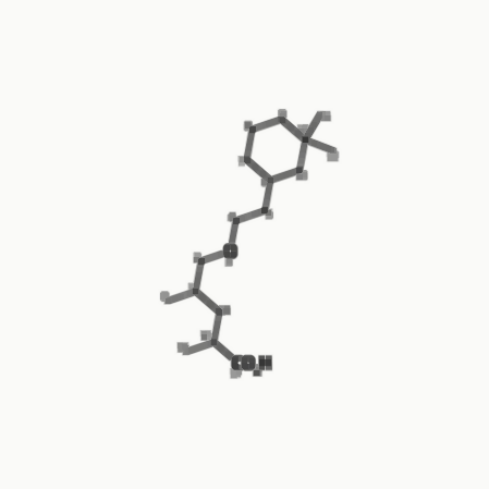 CC(COCCC1CCCC(C)(C)C1)CC(C)C(=O)O